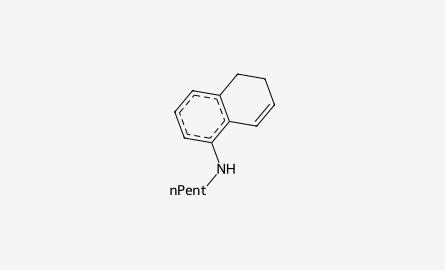 CCCCCNc1cccc2c1C=CCC2